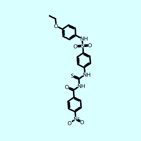 CCOc1ccc(NS(=O)(=O)c2ccc(NC(=S)NC(=O)c3ccc([N+](=O)[O-])cc3)cc2)cc1